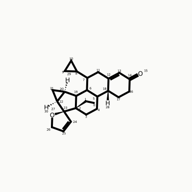 CC[C@]12CCC3C(C(C4CC4)CC4=CC(=O)CC[C@@H]43)C1[C@@H]1C[C@@H]1[C@@]21C=CCO1